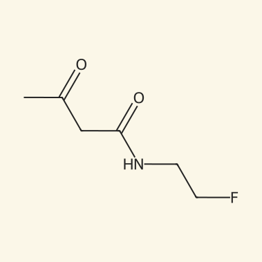 CC(=O)CC(=O)NCCF